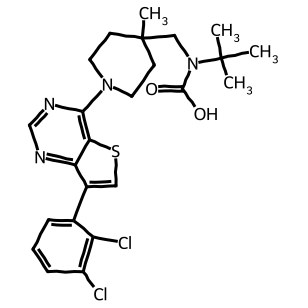 CC1(CN(C(=O)O)C(C)(C)C)CCN(c2ncnc3c(-c4cccc(Cl)c4Cl)csc23)CC1